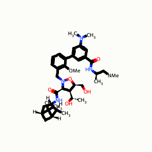 CNC[C@@H](C)NC(=O)c1cc(-c2cccc(CN3O[C@@H](CO)[C@@H]([C@H](C)O)[C@H]3C(=O)N[C@H]3C[C@H]4C[C@@H]([C@@H]3C)C4(C)C)c2OC)cc(N(C)C)c1